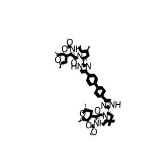 COC(=O)N[C@H](C(=O)N1C(C)[C@@H](C)C[C@H]1c1nc(-c2ccc(-c3ccc(-c4c[nH]c([C@@H]5CC(C)(C)C(C)N5C(=O)[C@@H](NC(=O)OC)C5C[C@@H](C)O[C@H](C)C5)n4)cc3)cc2)c[nH]1)C1C[C@@H](C)O[C@H](C)C1